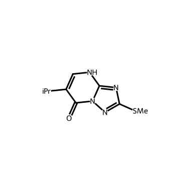 CSc1nc2[nH]cc(C(C)C)c(=O)n2n1